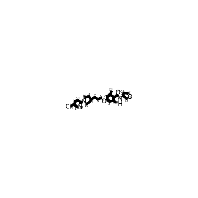 Cc1cc(OCCCC2CCN(c3ccc(Cl)cn3)CC2)cc(C)c1C(=O)N[C@H]1CCOC1